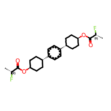 C[C@@H](F)C(=O)O[C@H]1CC[C@H](c2ccc([C@H]3CC[C@H](OC(=O)[C@@H](C)F)CC3)cc2)CC1